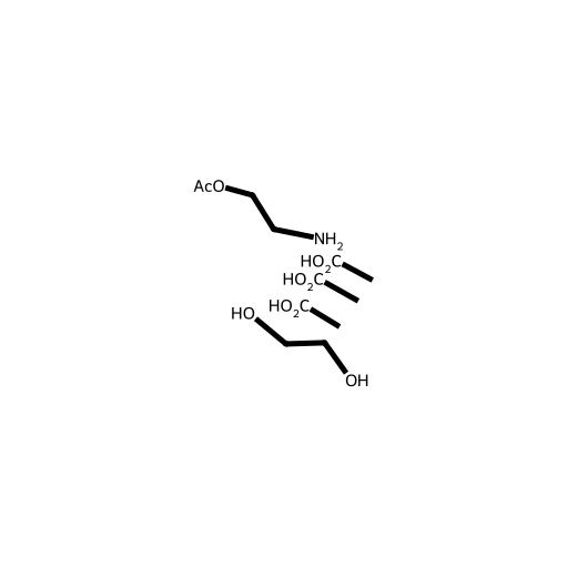 CC(=O)O.CC(=O)O.CC(=O)O.CC(=O)OCCN.OCCO